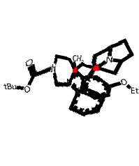 CCOc1cccc(C2(CCN3C4CCC3CC(n3c(C)nc5ccccc53)C4)CCN(C(=O)OC(C)(C)C)CC2)c1